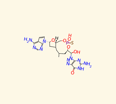 CC1CC2C[C@H](n3ccc4c(N)ncnc43)O[C@@H]2COP(O)(=S)O[C@@H]([C@@H](O)n2nnc3c(=O)[nH]c(N)nc32)C1